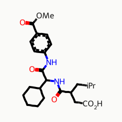 COC(=O)c1ccc(NC(=O)C(NC(=O)C(CC(=O)O)CC(C)C)C2CCCCC2)cc1